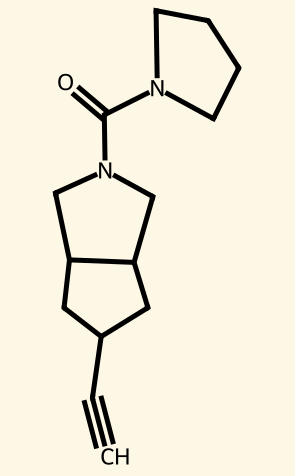 C#CC1CC2CN(C(=O)N3CCCC3)CC2C1